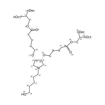 CCCCCCCCCCC(CCCCCCCC)COC(=O)CCCCO[C@H]1CN(CCCCCO)C[C@H]1OCCCCC(=O)OCC(CCCCCCCC)CCCCCCCCCC